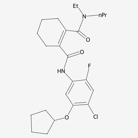 CCCN(CC)C(=O)C1=C(C(=O)Nc2cc(OC3CCCC3)c(Cl)cc2F)CCCC1